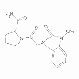 Cn1c(=O)n(CC(=O)N2CCCC2C(N)=O)c2ccccc21